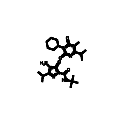 CC(C)c1nn(C(=O)NC(C)(C)C)c(=O)n1N.CN(C)c1nc(=O)n(C2CCCCC2)c(=O)n1C